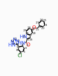 O=C(Nc1ccc(Cl)cc1-c1nnn[nH]1)c1cc2cc(OCc3ccccc3)ccc2[nH]1